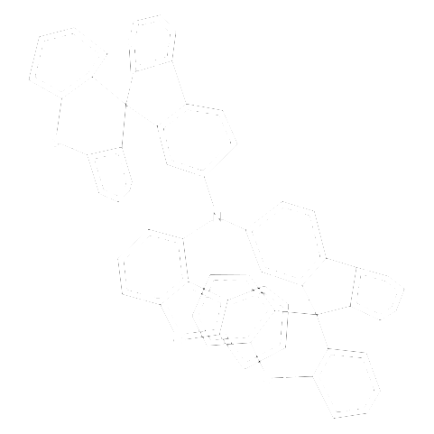 c1ccc2c(c1)Oc1ccccc1C21c2ccccc2-c2ccc(N(c3ccc4c(c3)C3(c5ccccc5Sc5ccccc53)c3ccccc3-4)c3cccc4oc5ccccc5c34)cc21